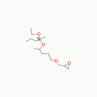 CCC[Si](C)(OCC)OC(C)CCCOCC1CO1